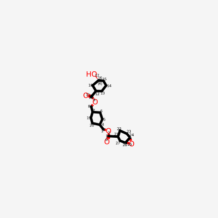 O=C(OCC1CCC(COC(=O)C2CCC[C@@H](O)C2)CC1)C1CCC2OC2C1